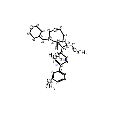 C=C(/C=C\C(=C/C)c1cccc(OC)c1)[C@@H]1[C@@H](COC)N2CCCCN(CC3CCOCC3)C[C@@H]12